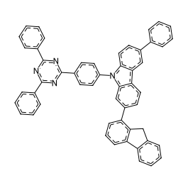 c1ccc(-c2ccc3c(c2)c2ccc(-c4cccc5c4Cc4ccccc4-5)cc2n3-c2ccc(-c3nc(-c4ccccc4)nc(-c4ccccc4)n3)cc2)cc1